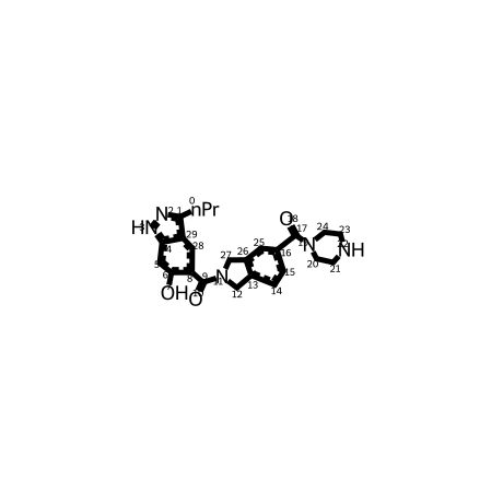 CCCc1n[nH]c2cc(O)c(C(=O)N3Cc4ccc(C(=O)N5CCNCC5)cc4C3)cc12